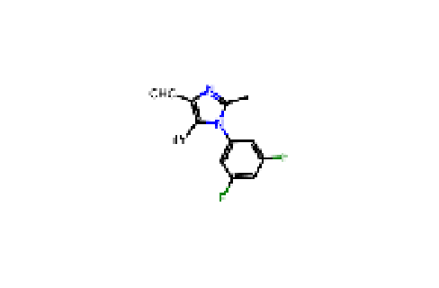 Cc1nc(C=O)c(C(C)C)n1-c1cc(F)cc(F)c1